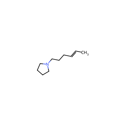 C/C=C/CCCN1CCCC1